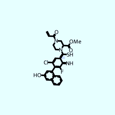 C=CC(=O)N1CCN(/C(S)=C2\C=C(Cl)C(c3cc(O)cc4ccccc34)=C(F)C2=N)C(C(=O)OC)C1